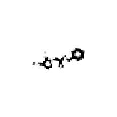 O=C(CN1CCC(Br)C1=O)OCc1ccccc1